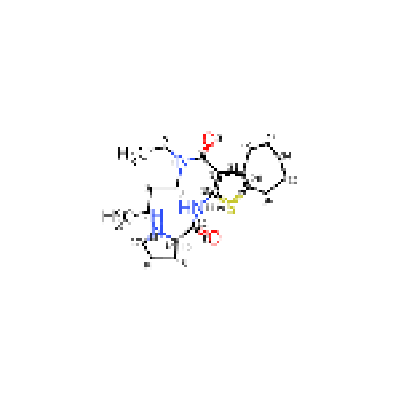 CCCCN(CC)C(=O)c1c(NC(=O)[C@H]2CCCN2)sc2c1CCCCC2